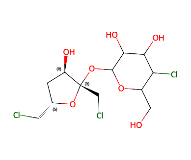 OCC1OC(O[C@]2(CCl)O[C@H](CCl)C[C@H]2O)C(O)C(O)C1Cl